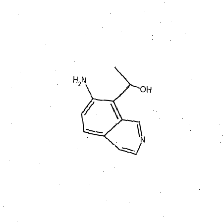 CC(O)c1c(N)ccc2ccncc12